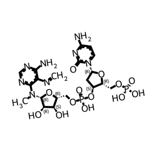 C=Nc1c(N)ncnc1N(C)[C@@H]1O[C@H](COP(=O)(O)O[C@H]2C[C@H](n3ccc(N)nc3=O)O[C@@H]2COP(=O)(O)O)[C@@H](O)[C@H]1O